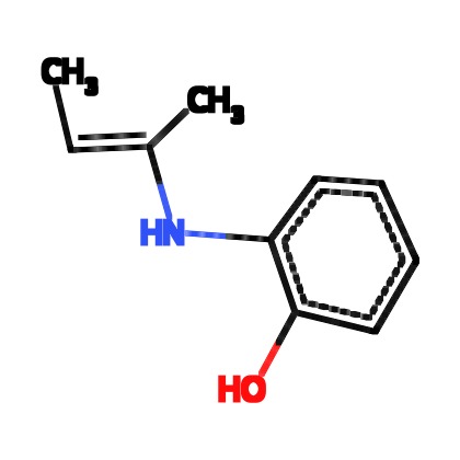 C/C=C(\C)Nc1ccccc1O